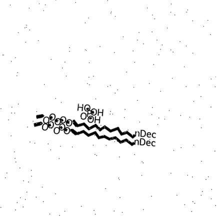 C=COOOOOC=CCCCCCCCCCCCCCCCCCCCC.C=COOOOOC=CCCCCCCCCCCCCCCCCCCCC.O=P(O)(O)O